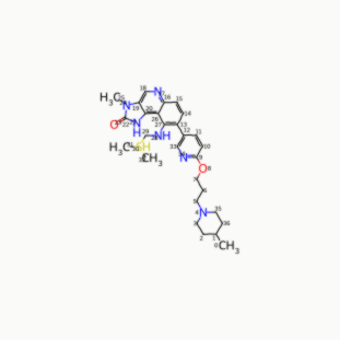 CC1CCN(CCCOc2ccc(-c3ccc4ncc5c([nH]c(=O)n5C)c4c3NC[SH](C)C)cn2)CC1